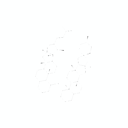 CC(C)CCC1O[C@H]2C[C@H]3[C@@H]4CCC5CCCC(O)[C@]5(C)[C@H]4CC[C@]3(C)[C@H]2[C@@H]1C.C[C@H]1CC[C@@]2(OC1)O[C@H]1C[C@H]3[C@@H]4CCC5CCCC[C@]5(C)[C@H]4CC[C@]3(C)[C@H]1[C@@H]2C